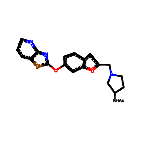 CC(=O)NC1CCN(Cc2cc3ccc(Oc4nc5ncccc5s4)cc3o2)C1